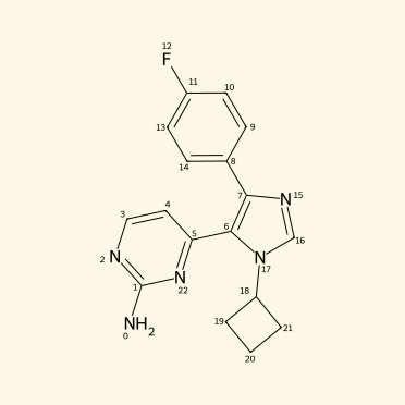 Nc1nccc(-c2c(-c3ccc(F)cc3)ncn2C2CCC2)n1